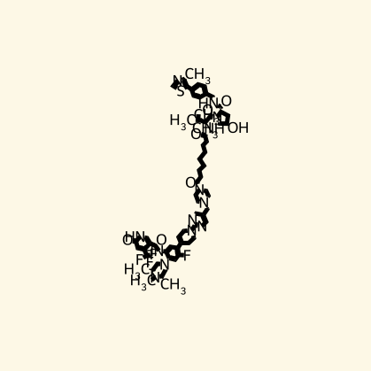 Cc1ncsc1-c1ccc(CNC(=O)[C@@H]2C[C@@H](O)CN2C(=O)[C@@H](NC(=O)CCCCCCCC(=O)N2CCN(Cc3cnc(N4CC=C(c5cc(NC(=O)c6c[nH]c(=O)cc6C(F)(F)F)c(N6C[C@@H](C)N(C)[C@@H](C)C6)cc5F)CC4)nc3)CC2)C(C)(C)C)cc1